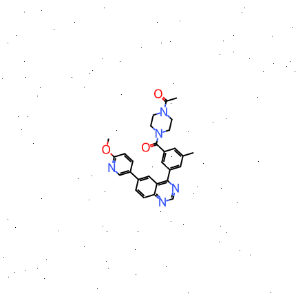 COc1ccc(-c2ccc3ncnc(-c4cc(C)cc(C(=O)N5CCN(C(C)=O)CC5)c4)c3c2)cn1